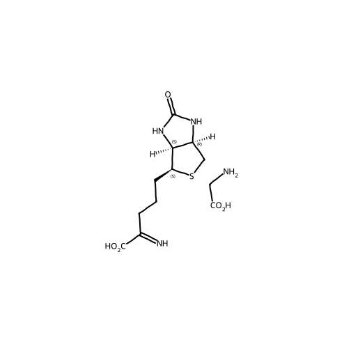 N=C(CCC[C@@H]1SC[C@@H]2NC(=O)N[C@@H]21)C(=O)O.NCC(=O)O